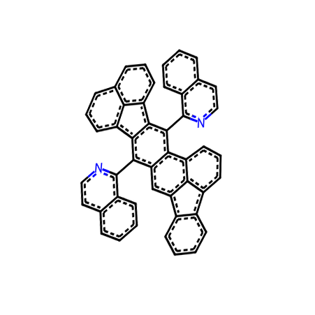 c1ccc2c(-c3c4cc5c6ccccc6c6cccc(c4c(-c4nccc7ccccc47)c4c7cccc8cccc(c34)c87)c65)nccc2c1